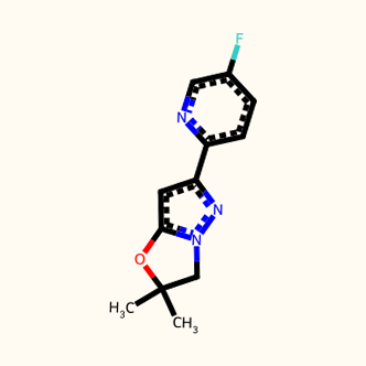 CC1(C)Cn2nc(-c3ccc(F)cn3)cc2O1